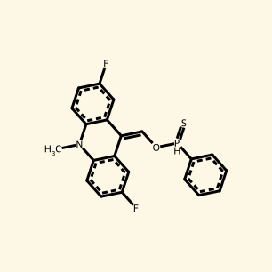 CN1c2ccc(F)cc2C(=CO[PH](=S)c2ccccc2)c2cc(F)ccc21